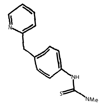 CNC(=S)Nc1ccc(Cc2ccccn2)cc1